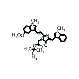 COc1ccc2c(c1)c(/C=C/C1=NC(=C\c3cn(C)c4ccccc34)/C(=O)N1CC(=O)OC(C)(C)C)cn2C